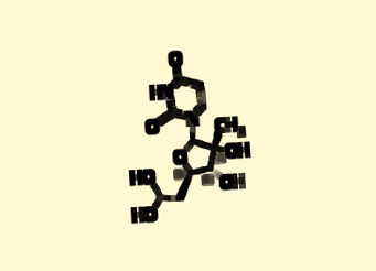 C[C@]1(O)C(n2ccc(=O)[nH]c2=O)O[C@H](CC(O)O)[C@H]1O